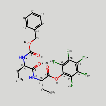 CC(C)C[C@H](NC(=O)[C@@H](CC(C)C)NC(=O)OCc1ccccc1)C(=O)Oc1c(F)c(F)c(F)c(F)c1F